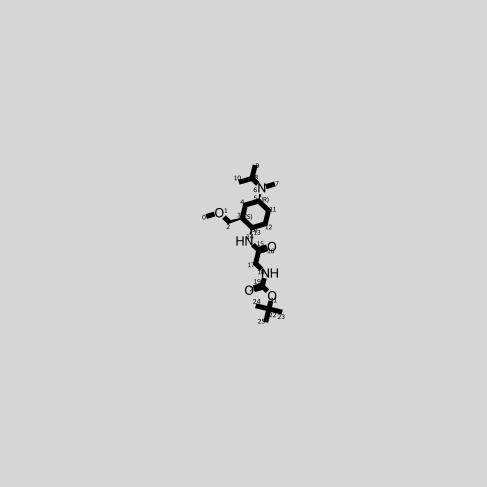 COC[C@H]1C[C@H](N(C)C(C)C)CC[C@@H]1NC(=O)CNC(=O)OC(C)(C)C